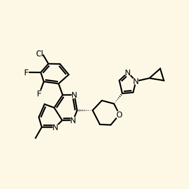 Cc1ccc2c(-c3ccc(Cl)c(F)c3F)nc([C@H]3CCO[C@@H](c4cnn(C5CC5)c4)C3)nc2n1